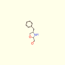 O=CC1N[C@H](Cc2ccccc2)CO1